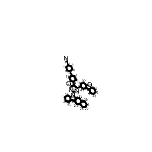 N#Cc1ccc(-c2ccc3c(c2)oc2nc(-n4c5ccccc5c5cc6ccccc6cc54)nc(-c4ccc5oc6ccccc6c5c4)c23)cc1